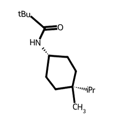 CC(C)[C@]1(C)CC[C@H](NC(=O)C(C)(C)C)CC1